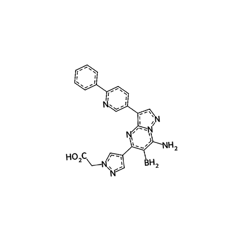 Bc1c(-c2cnn(CC(=O)O)c2)nc2c(-c3ccc(-c4ccccc4)nc3)cnn2c1N